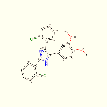 COc1ccc(-c2[nH]c(-c3ccccc3Cl)nc2-c2ccccc2Cl)cc1OC